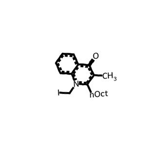 CCCCCCCCc1c(C)c(=O)c2ccccc2n1CI